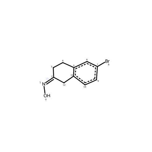 O/N=C1/CCc2cc(Br)ccc2C1